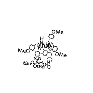 COc1ccc(CN2N=C(c3c(-c4cccc5sc(NC(=O)OC(C)(C)C)nc45)ccc(CCC4CCN(C(=O)OC(C)(C)C)CC4)c3S(=O)(=O)N(Cc3ccc(OC)cc3)Cc3ccc(OC)cc3)NN2)cc1